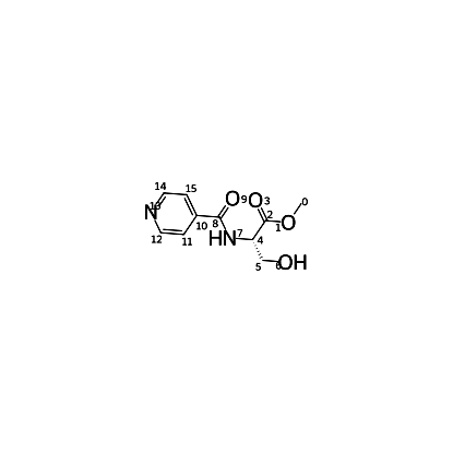 COC(=O)[C@H](CO)NC(=O)c1ccncc1